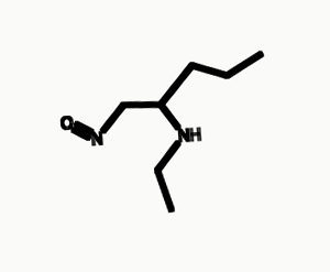 CCCC(CN=O)NCC